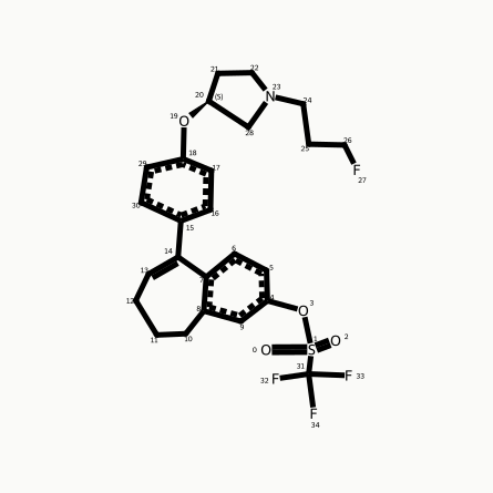 O=S(=O)(Oc1ccc2c(c1)CCCC=C2c1ccc(O[C@H]2CCN(CCCF)C2)cc1)C(F)(F)F